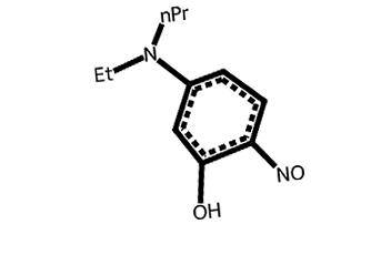 CCCN(CC)c1ccc(N=O)c(O)c1